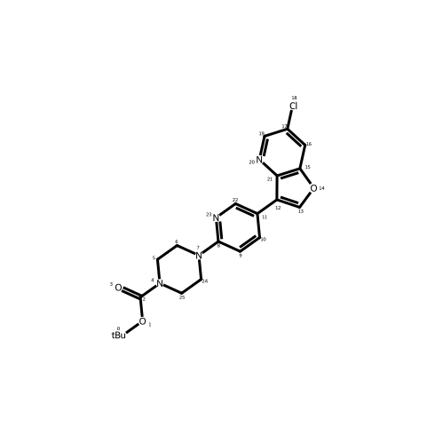 CC(C)(C)OC(=O)N1CCN(c2ccc(-c3coc4cc(Cl)cnc34)cn2)CC1